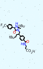 CCCCC1(C)NC(c2ccc(C(F)(F)F)cc2)C(=O)N1CC(CCC(C)(C)C)c1ccc(C(=O)NCCC(=O)O)cc1